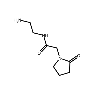 NCCNC(=O)CN1CCCC1=O